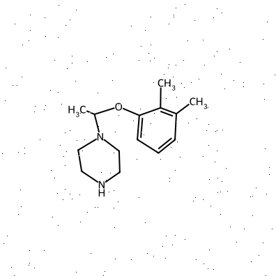 Cc1cccc(OC(C)N2CCNCC2)c1C